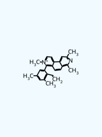 C=Cc1c(C)cc(C)cc1-c1c2ccc3c(C)nc(C)cc3c2cc[n+]1C